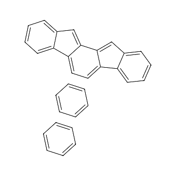 C1=c2c(ccc3c2=Cc2ccccc2-3)-c2ccccc21.c1ccccc1.c1ccccc1